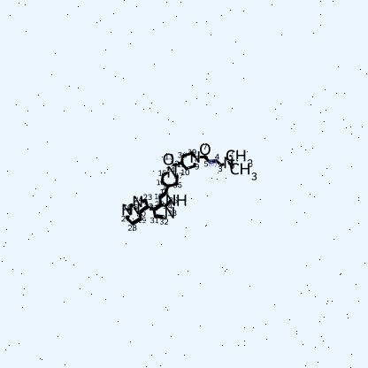 CN(C)C/C=C/C(=O)N1CCC(C(=O)N2CCC(c3cc4c(-c5cnn6ncccc56)ccnc4[nH]3)CC2)CC1